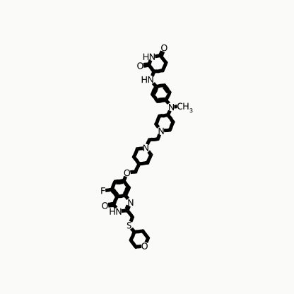 CN(c1ccc(NC2CCC(=O)NC2=O)cc1)C1CCN(CCN2CCC(COc3cc(F)c4c(=O)[nH]c(CSC5CCOCC5)nc4c3)CC2)CC1